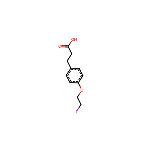 O=C(O)CCc1ccc(OCCI)cc1